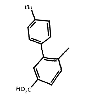 Cc1ccc(C(=O)O)cc1-c1ccc(C(C)(C)C)cc1